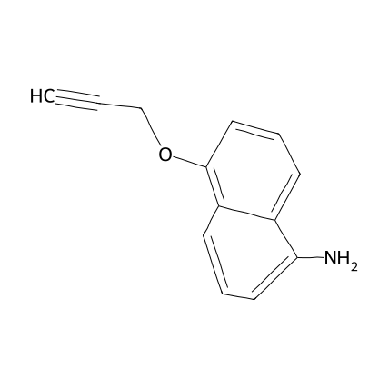 C#CCOc1cccc2c(N)cccc12